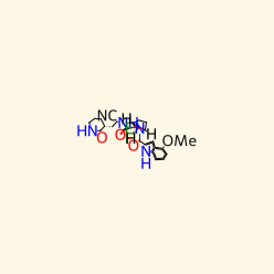 COc1cccc2[nH]c(C(=O)N3[C@H]4CC[C@@H]([C@@H]3C(=O)N[C@H](C#N)C[C@H]3CCCNC3=O)C(F)(F)C4)cc12